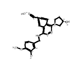 COc1ccc(CNc2nnc(N3CC[C@H](O)C3)c3ccc(C#N)cc23)cc1Cl.Cl